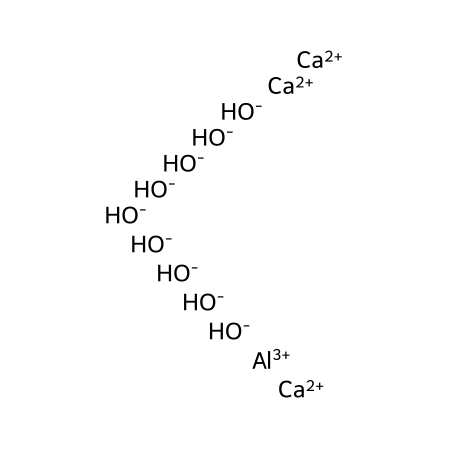 [Al+3].[Ca+2].[Ca+2].[Ca+2].[OH-].[OH-].[OH-].[OH-].[OH-].[OH-].[OH-].[OH-].[OH-]